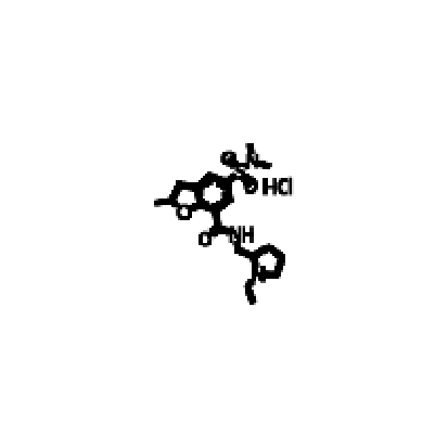 CCN1CCCC1CNC(=O)c1cc(S(=O)(=O)N(C)C)cc2c1OC(C)C2.Cl